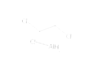 ClCCCl.[AlH2][Cl]